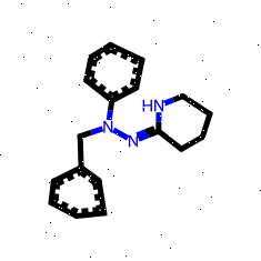 c1ccc(CN(N=C2CCCCN2)c2ccccc2)cc1